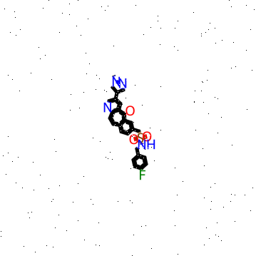 CN1CC(c2cnc3ccc4ccc(CS(=O)(=O)NCc5ccc(F)cc5)cc4c(=O)c3c2)C=N1